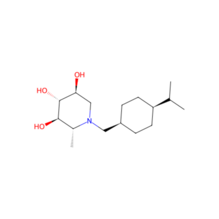 CC(C)[C@H]1CC[C@@H](CN2C[C@H](O)[C@@H](O)[C@H](O)[C@H]2C)CC1